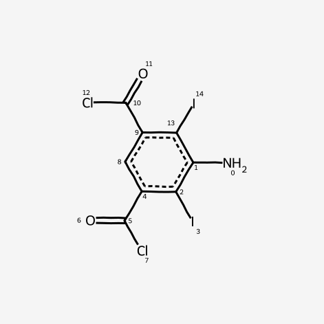 Nc1c(I)c(C(=O)Cl)cc(C(=O)Cl)c1I